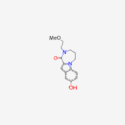 COCCN1CCCn2c(cc3cc(O)ccc32)C1=O